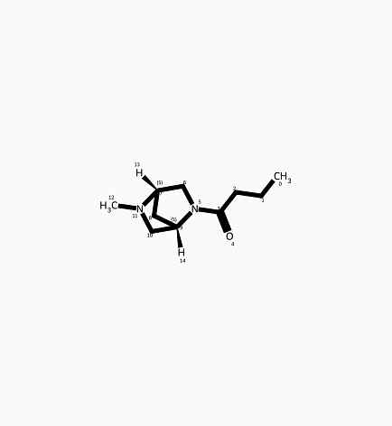 CCCC(=O)N1C[C@@H]2C[C@H]1CN2C